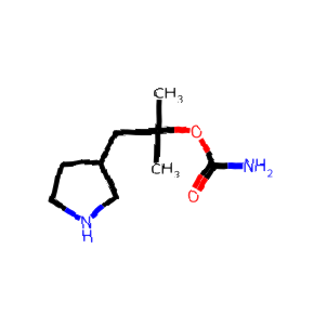 CC(C)(CC1CCNC1)OC(N)=O